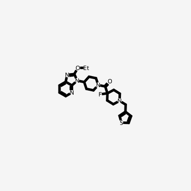 CCOc1nc2cccnc2n1C1CCN(C(=O)C2(F)CCN(Cc3ccsc3)CC2)CC1